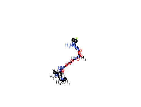 CN(CC(=O)NCCCOCCOCCOCCCNC(=O)CN(C)C(=O)COCC(=O)N1CCN(c2cc(-c3ccc(F)c4ccccc34)nc(N)n2)CC1)C(=O)CCCCCN1\C(=C/C=C/C=C/C2=[N+](C)c3ccccc3C2(C)C)C(C)(C)c2ccccc21